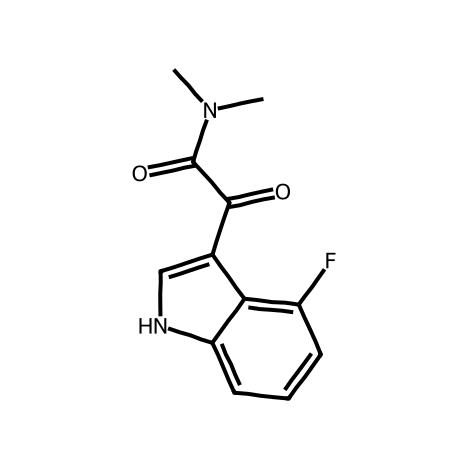 CN(C)C(=O)C(=O)c1c[nH]c2cccc(F)c12